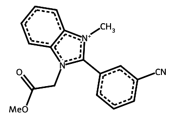 COC(=O)Cn1c(-c2cccc(C#N)c2)[n+](C)c2ccccc21